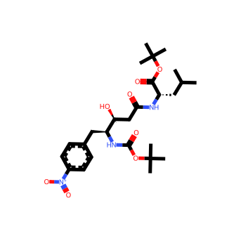 CC(C)C[C@H](NC(=O)C[C@H](O)[C@H](Cc1ccc([N+](=O)[O-])cc1)NC(=O)OC(C)(C)C)C(=O)OC(C)(C)C